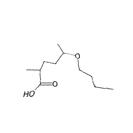 CCCCOC(C)CCC(C)C(=O)O